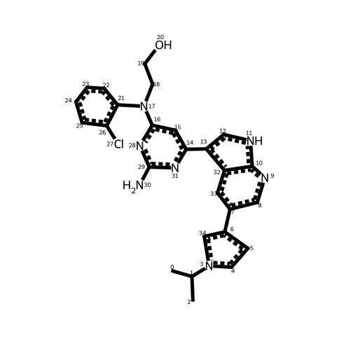 CC(C)n1ccc(-c2cnc3[nH]cc(-c4cc(N(CCO)c5ccccc5Cl)nc(N)n4)c3c2)c1